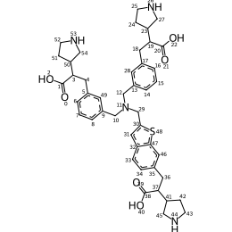 O=C(O)C(Cc1cccc(CN(Cc2cccc(CC(C(=O)O)C3CCNC3)c2)Cc2cc3ccc(CC(C(=O)O)C4CCNC4)cc3s2)c1)C1CCNC1